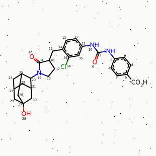 O=C(Nc1ccc(C(=O)O)cc1)Nc1ccc(CC2CCN(C3C4CC5CC3CC(O)(C5)C4)C2=O)c(Cl)c1